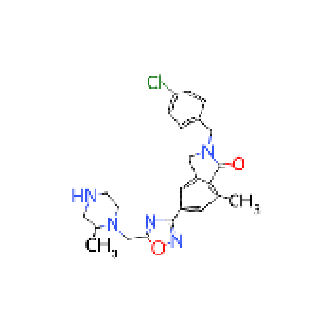 Cc1cc(-c2noc(CN3CCNC[C@@H]3C)n2)cc2c1C(=O)N(Cc1ccc(Cl)cc1)C2